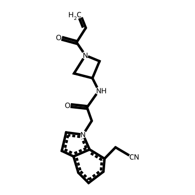 C=CC(=O)N1CC(NC(=O)Cn2ccc3cccc(CC#N)c32)C1